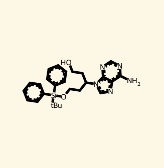 CC(C)(C)[Si](OCCC(CCO)n1cnc2c(N)ncnc21)(c1ccccc1)c1ccccc1